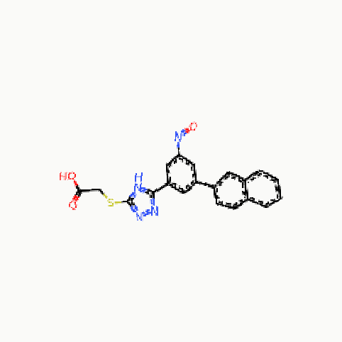 O=Nc1cc(-c2ccc3ccccc3c2)cc(-c2nnc(SCC(=O)O)[nH]2)c1